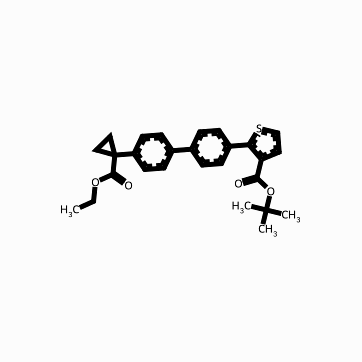 CCOC(=O)C1(c2ccc(-c3ccc(-c4sccc4C(=O)OC(C)(C)C)cc3)cc2)CC1